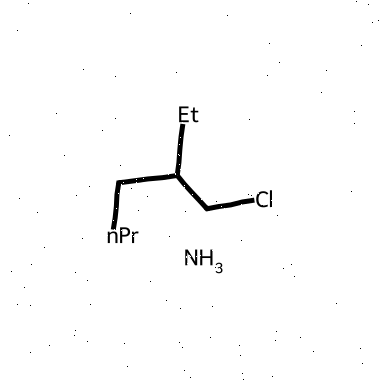 CCCCC(CC)CCl.N